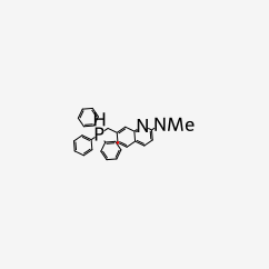 CNc1ccc2ccc(C[PH](c3ccccc3)(c3ccccc3)c3ccccc3)cc2n1